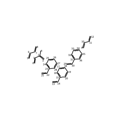 C=CC(=C)C.C=CC=C.C=CC=C.C=Cc1ccccc1.C=Cc1ccccc1.C=Cc1ccccc1